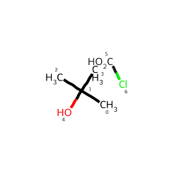 CC(C)(C)O.O=C(O)Cl